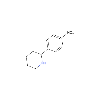 O=[N+]([O-])c1ccc(C2CCCCN2)cc1